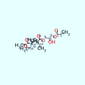 C=CC(=O)OCC(O)COC(=O)C(C)(CC)CC(C)(CC)C(=O)OC